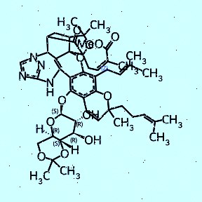 COC(=O)/C(C)=C\CC12OC(C)(C)C3CC(C1=O)C1C4=C(Nc5ncn1n5)c1c(O[C@@H]5O[C@@H]6COC(C)(C)O[C@H]6[C@H](O)[C@H]5O)c5c(c(CC=C(C)C)c1OC432)OC(C)(CCC=C(C)C)C=C5